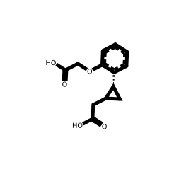 O=C(O)COc1ccccc1[C@@H]1CC1CC(=O)O